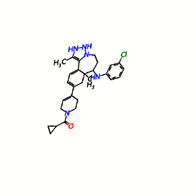 CC1=C2C3=CC=C(C4=CCN(C(=O)C5CC5)CC4)CC3(C)C(Nc3cccc(Cl)c3)CCN2NN1